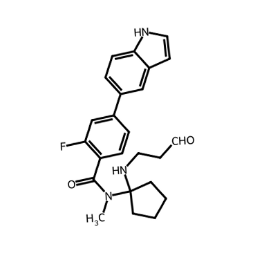 CN(C(=O)c1ccc(-c2ccc3[nH]ccc3c2)cc1F)C1(NCCC=O)CCCC1